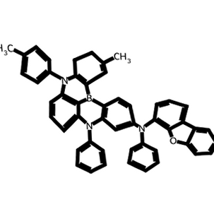 CC1=CC2=C(CC1)N(c1ccc(C)cc1)c1cccc3c1B2c1ccc(N(c2ccccc2)c2cccc4c2oc2ccccc24)cc1N3c1ccccc1